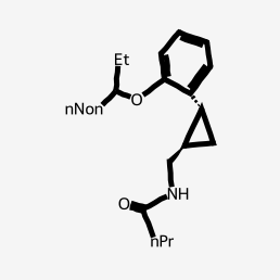 CCCCCCCCCC(CC)Oc1ccccc1[C@@H]1C[C@H]1CNC(=O)CCC